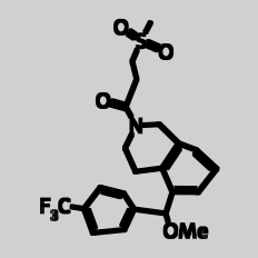 COC(c1ccc(C(F)(F)F)cc1)c1cccc2c1CCN(C(=O)CCS(C)(=O)=O)C2